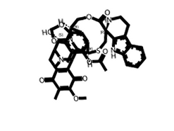 COC1=C(C)C(=O)C2=C(C1=O)C1C3[C@@H]4SC[C@]5(NCCc6c5[nH]c5ccccc65)C(=O)OC[C@@H](c5c6c(c(C)c(OC(C)=O)c54)OCO6)N3[C@@H](O)C(C2)N1C